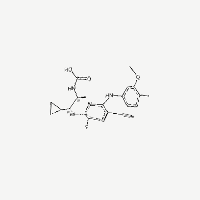 COc1cc(Nc2nc(N[C@H](C3CC3)[C@H](C)NC(=O)O)c(F)cc2C#N)ccc1C